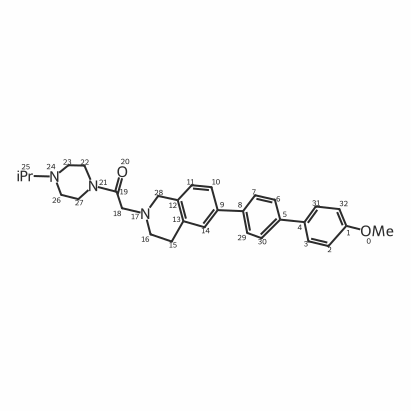 COc1ccc(-c2ccc(-c3ccc4c(c3)CCN(CC(=O)N3CCN(C(C)C)CC3)C4)cc2)cc1